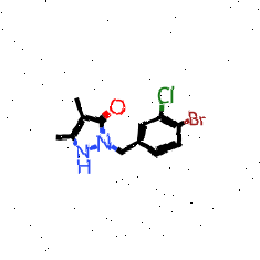 Cc1[nH]n(Cc2ccc(Br)c(Cl)c2)c(=O)c1C